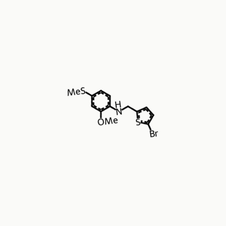 COc1cc(SC)ccc1NCc1ccc(Br)s1